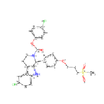 CS(=O)(=O)CCCOc1ccc(C2c3[nH]c4c(c3CCN2C(=O)Oc2ccc(Cl)cc2)=CC(Cl)CC=4)cc1